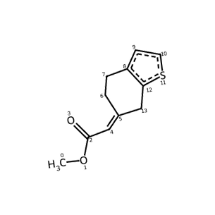 COC(=O)C=C1CCc2ccsc2C1